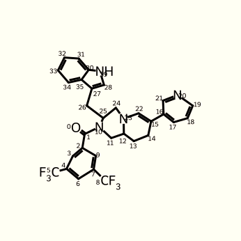 O=C(c1cc(C(F)(F)F)cc(C(F)(F)F)c1)N1CC2CCC(c3cccnc3)=CN2CC1Cc1c[nH]c2ccccc12